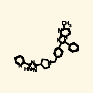 Cc1ccn2c(-c3ccccc3)c(-c3ccc(CN4CCC(c5n[nH]c(-c6ccccn6)n5)CC4)cc3)nc2n1